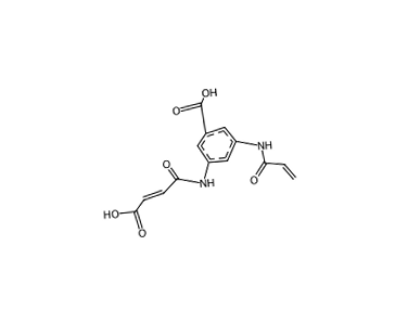 C=CC(=O)Nc1cc(NC(=O)/C=C/C(=O)O)cc(C(=O)O)c1